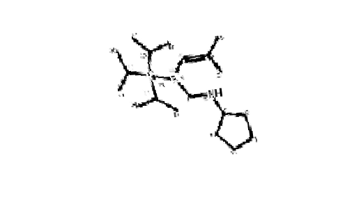 CC(C)=C[SiH](CNC1CCCC1)[Si](C(C)C)(C(C)C)C(C)C